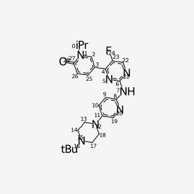 CC(C)n1cc(-c2nc(Nc3ccc(N4CCN(C(C)(C)C)CC4)cn3)ncc2F)ccc1=O